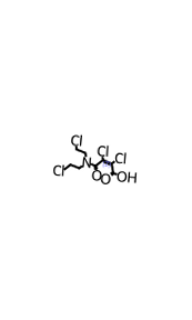 O=C(O)/C(Cl)=C(/Cl)C(=O)N(CCCl)CCCl